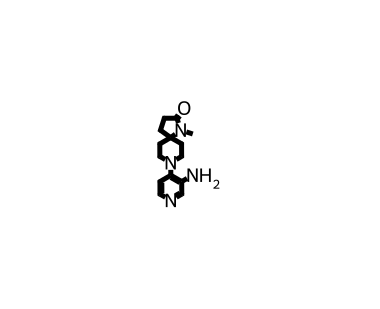 CN1C(=O)CCC12CCN(c1ccncc1N)CC2